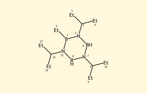 CCB1N(C(CC)CC)BN(C(CC)CC)BN1C(CC)CC